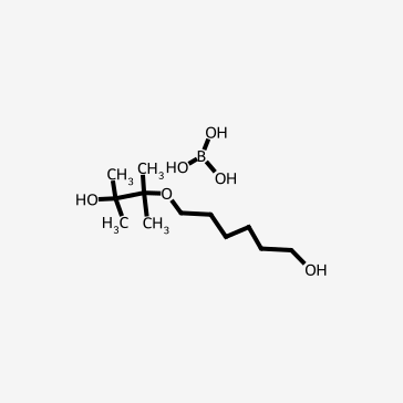 CC(C)(O)C(C)(C)OCCCCCCO.OB(O)O